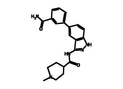 CN1CCC(C(=O)Nc2n[nH]c3ccc(-c4cccc(C(N)=O)c4)cc23)CC1